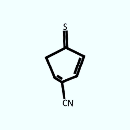 N#CC1=CCC(=S)C=C1